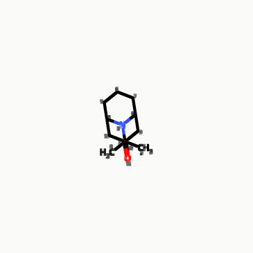 CC(C)N1C2CCCC1CC(=O)C2